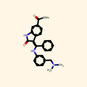 CNC(=O)c1ccc2c(c1)NC(=O)/C2=C(\Nc1cccc(CN(C)C)c1)c1ccccc1